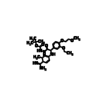 CCOc1cc(C(NC2=CC(C)C(C(=N)N)C=C2)C(=O)NNC(=O)OC(C)(C)C)ccc1OCCOC